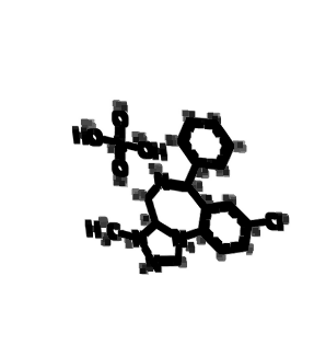 CN1N=CN2c3ccc(Cl)cc3C(c3ccccc3)=NCC12.O=S(=O)(O)O